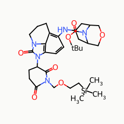 CC(C)(C)OC(=O)N1C2COCC1CC(Nc1ccc3c4c1CCCn4c(=O)n3C1CCC(=O)N(COCC[Si](C)(C)C)C1=O)C2